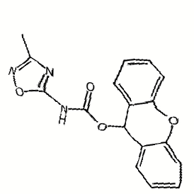 Cc1noc(NC(=O)OC2c3ccccc3Oc3ccccc32)n1